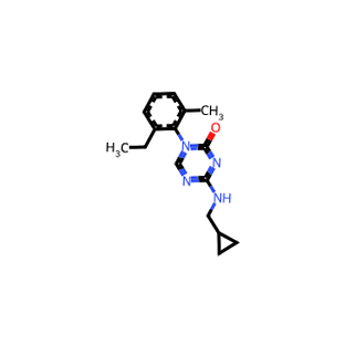 CCc1cccc(C)c1-n1cnc(NCC2CC2)nc1=O